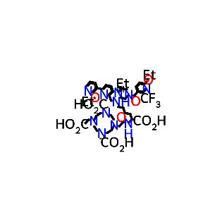 CCOc1ccc(C(=O)N2CCN(c3ccc(-c4cccnc4OCC)nc3CNCCCCC(NC(=O)CN3CCN(CC(=O)O)CCN(CC(=O)O)CCN(CC(=O)O)CC3)C(=O)O)[C@H](CC)C2)c(C(F)(F)F)n1